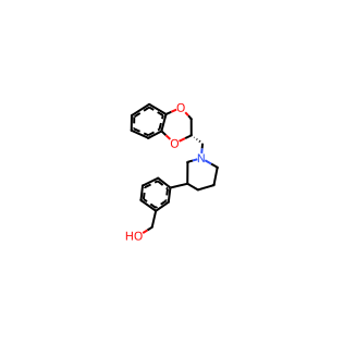 OCc1cccc(C2CCCN(C[C@H]3COc4ccccc4O3)C2)c1